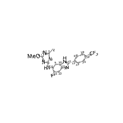 COc1nc(C)nc(Nc2cc3[nH]c(-c4ccc(C(F)(F)F)cc4)nc3cc2F)n1